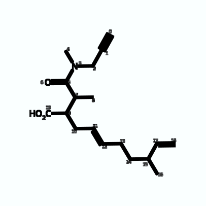 C#CCN(C)C(=O)C(C)C(CC=CCCC(C)C=C)C(=O)O